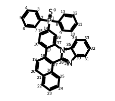 S=P(c1ccccc1)(c1ccccc1)c1ccc2c3ccc4ccccc4c3c3nc4ccccc4n3c2c1